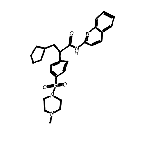 CN1CCN(S(=O)(=O)c2ccc(C(CC3CCCC3)C(=O)Nc3ccc4ccccc4n3)cc2)CC1